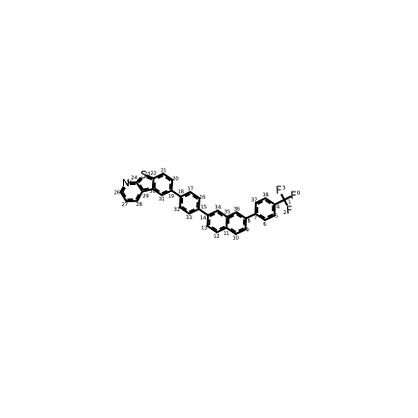 FC(F)(F)c1ccc(-c2ccc3ccc(-c4ccc(-c5ccc6sc7ncccc7c6c5)cc4)cc3c2)cc1